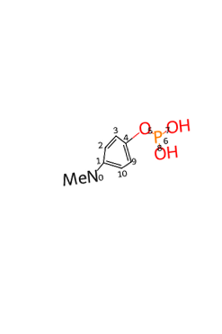 CNc1ccc(OP(O)O)cc1